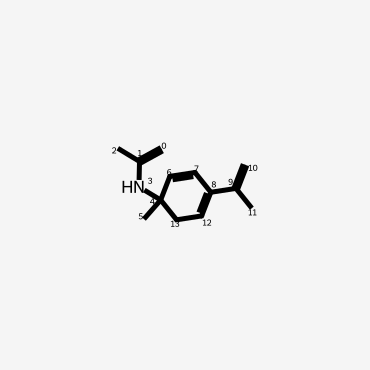 C=C(C)NC1(C)C=CC(C(=C)C)=CC1